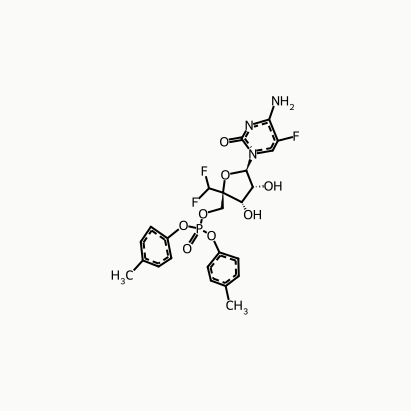 Cc1ccc(OP(=O)(OC[C@@]2(C(F)F)O[C@@H](n3cc(F)c(N)nc3=O)[C@H](O)[C@@H]2O)Oc2ccc(C)cc2)cc1